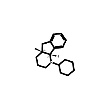 C[C@]12CCCN(C3CCCCC3)[C@H]1c1ccccc1C2